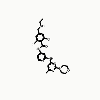 CCNCc1cc(Cl)c(C(=O)Nc2ccnc(Nc3cc(C)nc(N4CCOCC4)n3)c2)c(Cl)c1